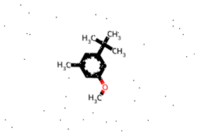 COc1cc(C)cc(C(C)(C)C)c1